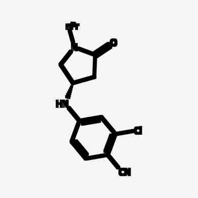 CCCN1C[C@@H](Nc2ccc(C#N)c(Cl)c2)CC1=O